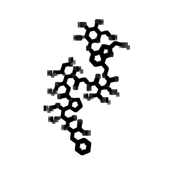 CCC(C)[C@@H]([C@@H](CC(=O)N1CCC[C@H]1[C@H](OC)[C@@H](C)C(=O)NC(Cc1ccccc1)C(=O)O)OC)N(C)C(=O)CNC(=O)[C@H](C(C)C)N(C)C(=O)OCc1ccc(O[C@@H]2O[C@H](CO)[C@H](O)[C@H](O)[C@H]2O)c2cc(CN)oc12